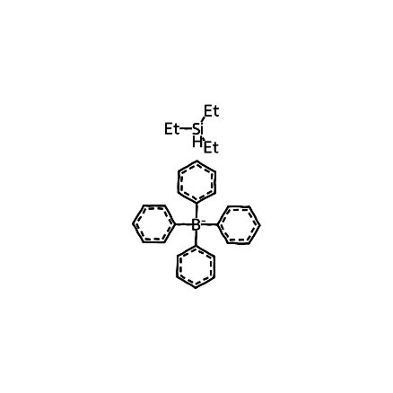 CC[SiH](CC)CC.c1ccc([B-](c2ccccc2)(c2ccccc2)c2ccccc2)cc1